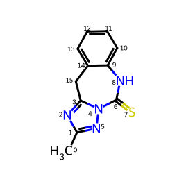 Cc1nc2n(n1)C(=S)Nc1ccccc1C2